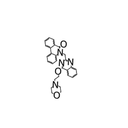 O=c1c2ccccc2c2ccccc2n1Cc1nc(OCCN2CCOCC2)c2ccccc2n1